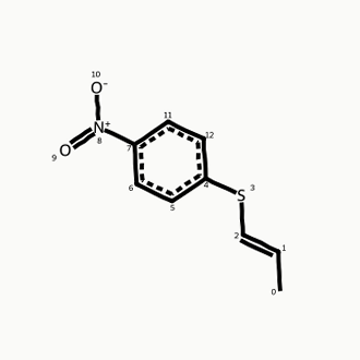 CC=CSc1ccc([N+](=O)[O-])cc1